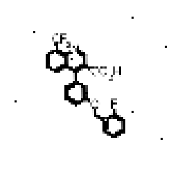 O=C(O)c1cnc2c(C(F)(F)F)cccc2c1-c1cccc(OCc2ccccc2F)c1